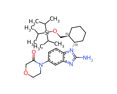 CC(C)[Si](OC[C@H]1CCCC[C@@H]1n1c(N)nc2cc(N3CCOCC3=O)ccc21)(C(C)C)C(C)C